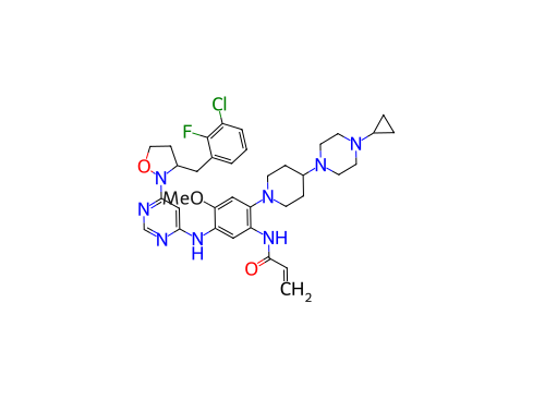 C=CC(=O)Nc1cc(Nc2cc(N3OCCC3Cc3cccc(Cl)c3F)ncn2)c(OC)cc1N1CCC(N2CCN(C3CC3)CC2)CC1